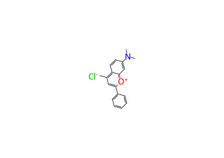 Cc1cc(-c2ccccc2)[o+]c2cc(N(C)C)ccc12.[Cl-]